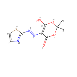 CC1(C)OC(=O)C(N=Nc2nccs2)=C(O)O1